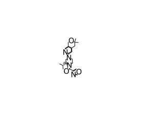 CC(C)[C@@H]1CN(c2cc3c(cn2)COC(C)(C)C3)CCN1C(=O)c1cocn1